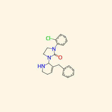 O=C1N(c2ccccc2Cl)CCN1C1NCCC=C1Cc1ccccc1